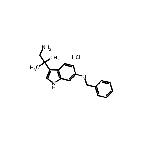 CC(C)(CN)c1c[nH]c2cc(OCc3ccccc3)ccc12.Cl